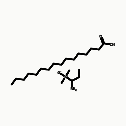 CCC(N)[N+](C)(C)[O-].CCCCCCCCCCCCCCCC(=O)O